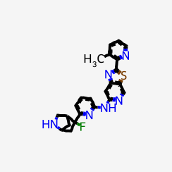 Cc1cccnc1-c1nc2cc(Nc3cccc(C4(F)CC5CC4CN5)n3)ncc2s1